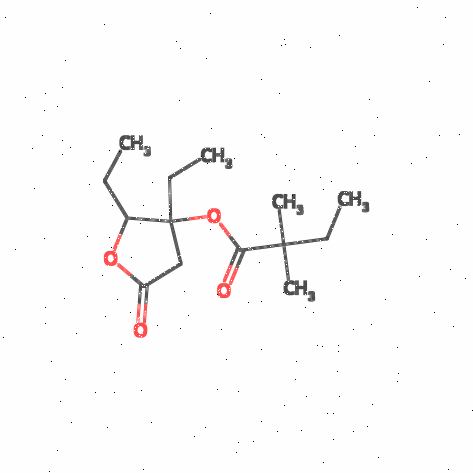 CCC1OC(=O)CC1(CC)OC(=O)C(C)(C)CC